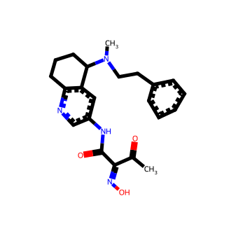 CC(=O)/C(=N\O)C(=O)Nc1cnc2c(c1)C(N(C)CCc1ccccc1)CCC2